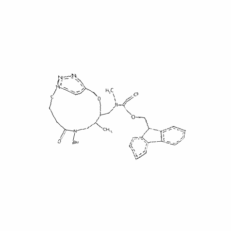 CCC(C)N1CC(C)C(CN(C)C(=O)OCC2c3ccccc3-c3ccccc32)OCc2cn(nn2)CCCC1=O